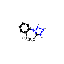 O=C(O)c1ccccc1-n1nnnc1C(F)(F)F